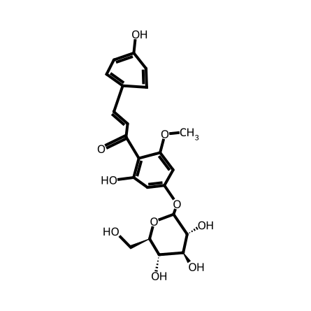 COc1cc(OC2O[C@H](CO)[C@@H](O)[C@H](O)[C@H]2O)cc(O)c1C(=O)C=Cc1ccc(O)cc1